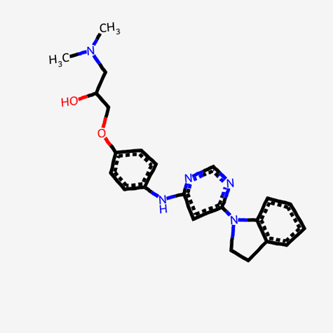 CN(C)CC(O)COc1ccc(Nc2cc(N3CCc4ccccc43)ncn2)cc1